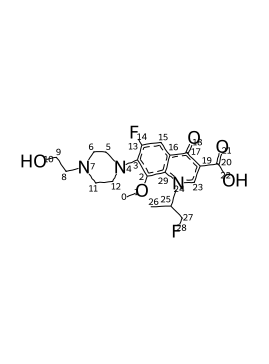 COc1c(N2CCN(CCO)CC2)c(F)cc2c(=O)c(C(=O)O)cn(C(C)CF)c12